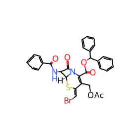 CC(=O)OCC1=C(C(=O)OC(c2ccccc2)c2ccccc2)N2C(=O)C(NC(=O)c3ccccc3)[C@@H]2SC1=CBr